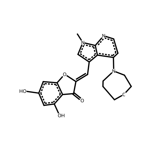 Cn1cc(C=C2Oc3cc(O)cc(O)c3C2=O)c2c(N3CCCCCC3)ccnc21